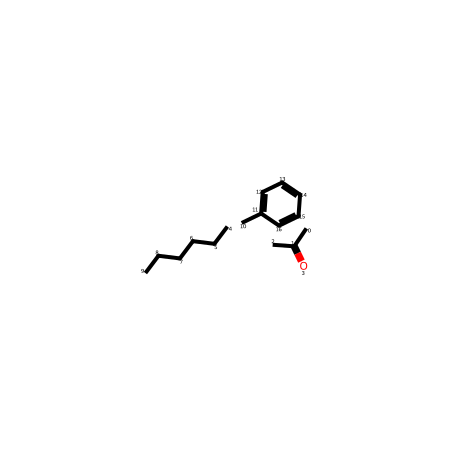 CC(C)=O.CCCCCC.Cc1ccccc1